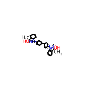 CC(C)(O)c1ccccc1Nc1ccc(-c2ccc(Nc3ccccc3C(C)(C)O)cc2)cc1